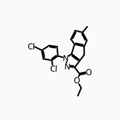 CCOC(=O)c1nn(-c2ccc(Cl)cc2Cl)c2c1Cc1cc(C)ccc1-2